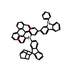 c1ccc(-c2cccc3cccc(-c4ccccc4N(c4cccc(-c5ccc6c7ccccc7n(-c7ccccc7)c6c5)c4)c4ccc5c(c4)C4(c6ccccc6-5)C5CC6CC7CC4C75C6)c23)cc1